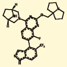 Fc1c(-c2c(C(F)(F)F)ccc3[nH]ncc23)ccc2c(N3C[C@H]4CC[C@@H](C3)N4)nc(OCC34CCCN3CCC4)nc12